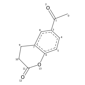 CC(=O)c1ccc2c(c1)CCC(=O)O2